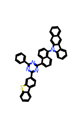 c1ccc(-c2nc(-c3ccc4c(c3)sc3ccccc34)nc(-c3cccc4c(-n5c6ccccc6c6cc7ccccc7cc65)cccc34)n2)cc1